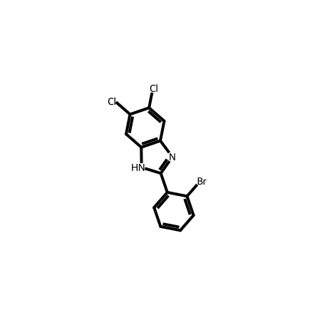 Clc1cc2nc(-c3ccccc3Br)[nH]c2cc1Cl